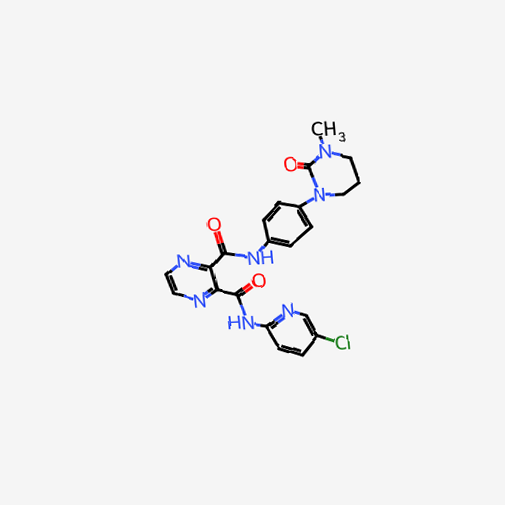 CN1CCCN(c2ccc(NC(=O)c3nccnc3C(=O)Nc3ccc(Cl)cn3)cc2)C1=O